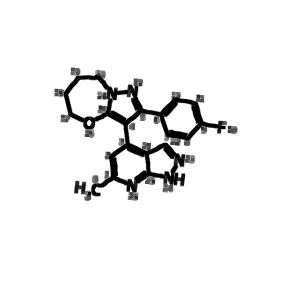 Cc1cc(-c2c(-c3ccc(F)cc3)nn3c2OCCCC3)c2cn[nH]c2n1